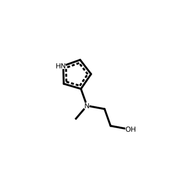 CN(CCO)c1cc[nH]c1